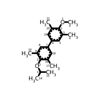 COc1c(C)cc(-c2cc(C)c(OC(C)C)c(C)c2)cc1C